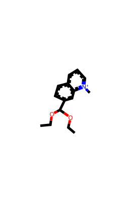 CCOC(OCC)c1ccc2ccc[n+](C)c2c1